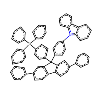 c1ccc(-c2ccc3c(c2)C(c2ccc(-n4c5ccccc5c5ccccc54)cc2)(c2ccc([Si](c4ccccc4)(c4ccccc4)c4ccccc4)cc2)c2cc(-c4ccccc4)ccc2-3)cc1